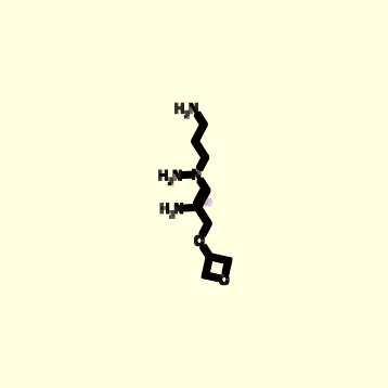 NCCCN(N)/C=C(\N)COC1COC1